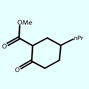 CCCC1CCC(=O)C(C(=O)OC)C1